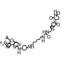 Cn1ncc(-c2nc(NC3CCC(NCCCCCCCNCC(=O)NCc4cc5c(s4)C(=O)N(C4CCC(=O)NC4=O)C5)CC3)ncc2Cl)c1CC1CC1